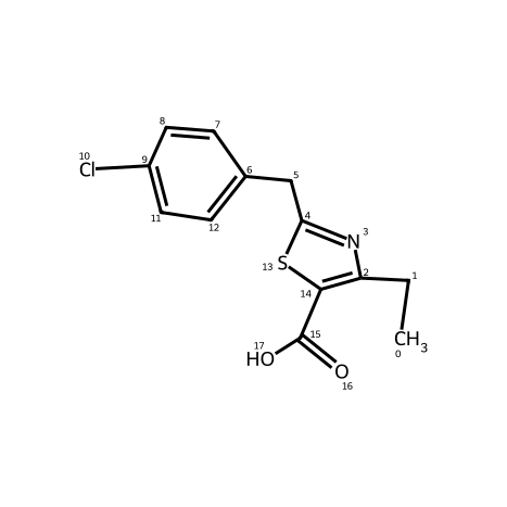 CCc1nc(Cc2ccc(Cl)cc2)sc1C(=O)O